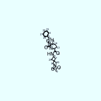 CS(=O)(=O)N1CC2(CC(NC(=O)[C@@H]3CC[C@@H]4CN3C(=O)N4OCc3ccccc3)C2)C1